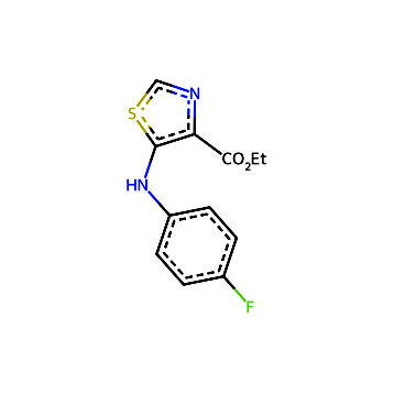 CCOC(=O)c1ncsc1Nc1ccc(F)cc1